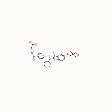 Cc1c(C(Nc2ccc(C(=O)N(C)CCC(=O)O)cc2)C2CCCCC2)oc2ccc(OCC3(C)COC3)cc12